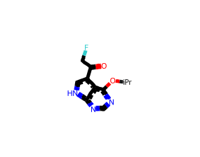 CC(C)Oc1ncnc2[nH]cc(C(=O)CF)c12